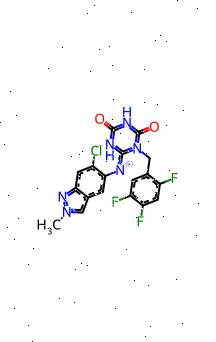 Cn1cc2cc(/N=c3\[nH]c(=O)[nH]c(=O)n3Cc3cc(F)c(F)cc3F)c(Cl)cc2n1